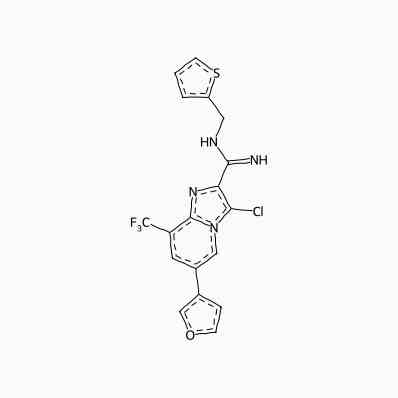 N=C(NCc1cccs1)c1nc2c(C(F)(F)F)cc(-c3ccoc3)cn2c1Cl